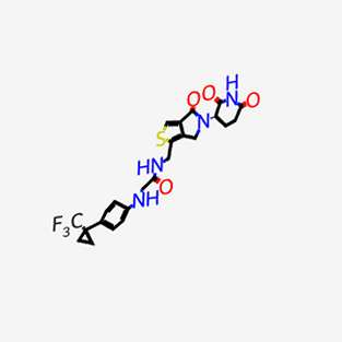 O=C(CNc1ccc(C2(C(F)(F)F)CC2)cc1)NCc1scc2c1CN([C@H]1CCC(=O)NC1=O)C2=O